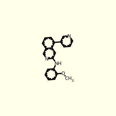 COc1c[c]ccc1Nc1cc2c(-c3cccnc3)cccc2cn1